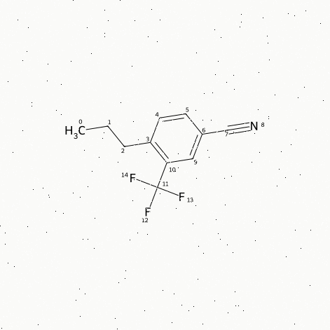 CCCc1ccc(C#N)cc1C(F)(F)F